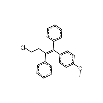 COc1ccc(C(=C(CCCl)c2ccccc2)c2ccccc2)cc1